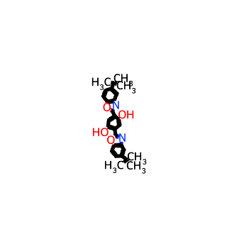 CC(C)(C)c1ccc2oc(-c3cc(O)c(-c4nc5cc(C(C)(C)C)ccc5o4)cc3O)nc2c1